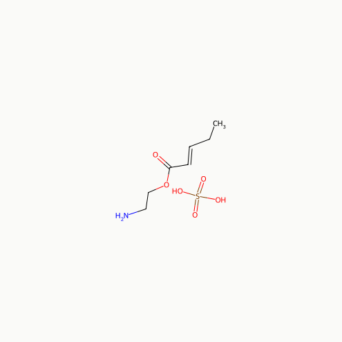 CCC=CC(=O)OCCN.O=S(=O)(O)O